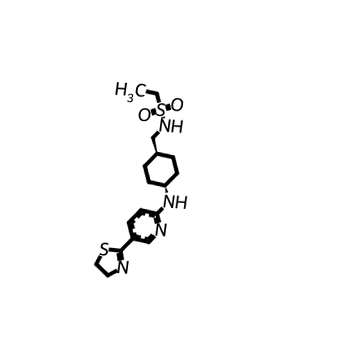 CCS(=O)(=O)NC[C@H]1CC[C@H](Nc2ccc(C3=NCCS3)cn2)CC1